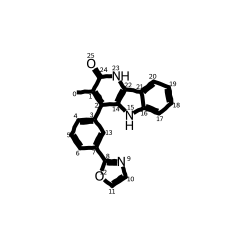 Cc1c(-c2cccc(-c3ncco3)c2)c2[nH]c3ccccc3c2[nH]c1=O